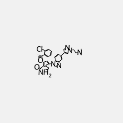 C[C@@H](Oc1cc(-n2cnc3cc(-c4cnn(CCN(C)C)c4)ccc32)sc1C(N)=O)c1ccccc1Cl